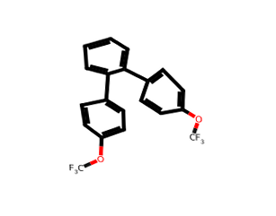 FC(F)(F)Oc1ccc(-c2ccccc2-c2ccc(OC(F)(F)F)cc2)cc1